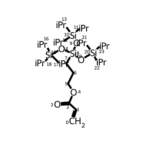 C=CC(=O)OCCC[Si](O[Si](C(C)C)(C(C)C)C(C)C)(O[Si](C(C)C)(C(C)C)C(C)C)O[Si](C(C)C)(C(C)C)C(C)C